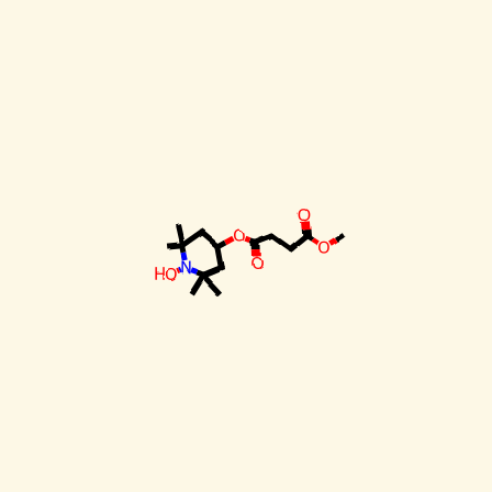 COC(=O)CCC(=O)OC1CC(C)(C)N(O)C(C)(C)C1